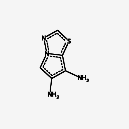 Nc1cn2ncsc2c1N